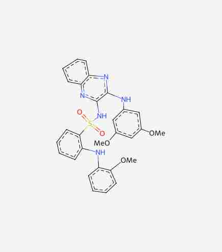 COc1cc(Nc2nc3ccccc3nc2NS(=O)(=O)c2ccccc2Nc2ccccc2OC)cc(OC)c1